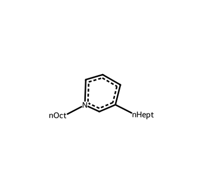 CCCCCCCC[n+]1cccc(CCCCCCC)c1